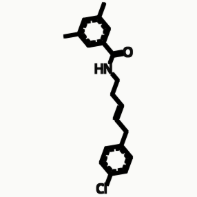 Cc1cc(C)cc(C(=O)NCCC=CCc2ccc(Cl)cc2)c1